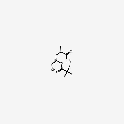 CC(C[C@@H](CO)OC(=O)C(F)(F)F)C(N)=O